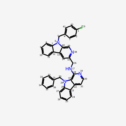 Fc1ccc(Cn2c3ccccc3c3cc(CNc4nccc5c6ccccc6n(Cc6ccccc6)c45)ncc32)cc1